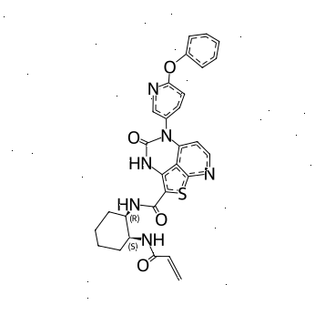 C=CC(=O)N[C@H]1CCCC[C@H]1NC(=O)c1sc2nccc3c2c1NC(=O)N3c1ccc(Oc2ccccc2)nc1